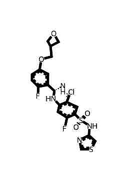 N[C@H](Nc1cc(F)c(S(=O)(=O)Nc2cscn2)cc1Cl)c1cc(OCC2COC2)ccc1F